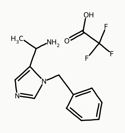 CC(N)c1cncn1Cc1ccccc1.O=C(O)C(F)(F)F